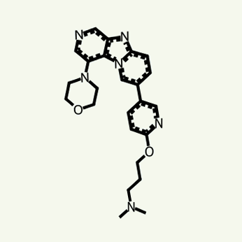 CN(C)CCCOc1ccc(-c2ccc3nc4cncc(N5CCOCC5)c4n3c2)cn1